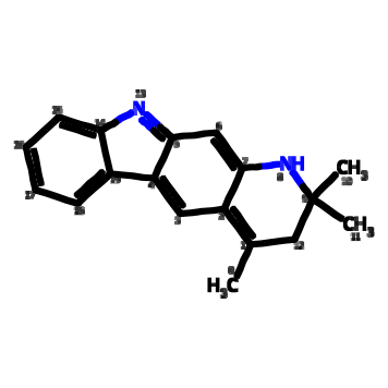 CC1=c2cc3c(cc2NC(C)(C)C1)=Nc1ccccc1-3